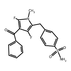 Cn1c(F)c(C(=O)c2ccccc2)c(F)c1Cc1ccc(S(N)(=O)=O)cc1